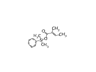 CC=C(C)C(=O)O[Si](C)(C)c1ccccc1